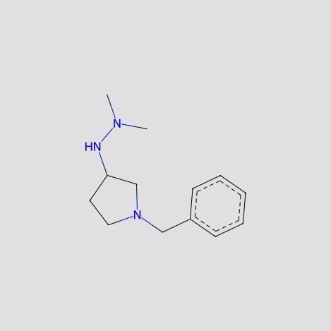 CN(C)NC1CCN(Cc2ccccc2)C1